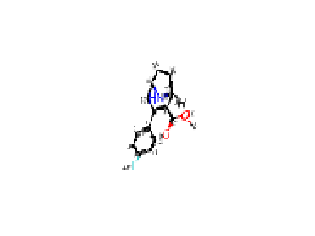 COC(=O)C1=C(c2ccc(F)cc2)CC2CC[C@H]1N2